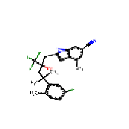 Cc1ccc(F)cc1C(C)(C)CC(O)(Cc1cc2c(C)cc(C#N)cc2[nH]1)C(F)(F)F